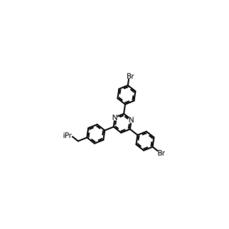 CC(C)Cc1ccc(-c2cc(-c3ccc(Br)cc3)nc(-c3ccc(Br)cc3)n2)cc1